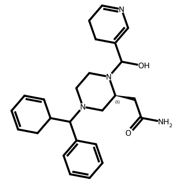 NC(=O)C[C@H]1CN(C(c2ccccc2)C2C=CC=CC2)CCN1C(O)C1=CN=CCC1